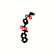 CCC(C)C(=O)OC1CC2CC1CC2C(=O)OC(C)(C)c1ccc2ccccc2c1